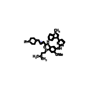 COc1cc(OCCN(C)C)c(NC(=O)/C=C/CN2CCN(C(C)C)CC2)cc1Nc1nccc(-c2cn(C)c3ccccc23)n1